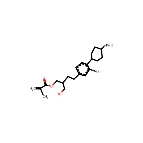 C=C(C)C(=O)OCC(CO)CCc1ccc(C2CCC(CCCCC)CC2)c(CC)c1